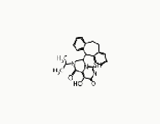 CC(C)N1CC(C2c3ccccc3CCc3ccccc32)n2c(S)nc(=O)c(O)c2C1=O